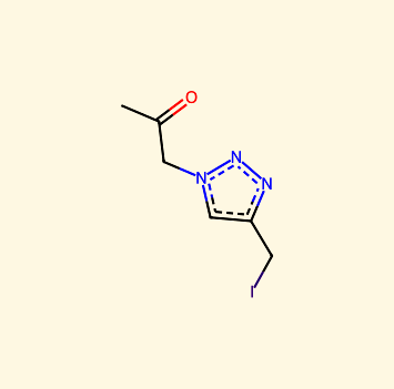 CC(=O)Cn1cc(CI)nn1